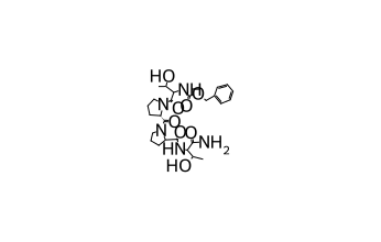 CC(O)C(NC(=O)C1CCCN1C(=O)[C@@H]1CCCN1C(=O)C(NC(=O)OCc1ccccc1)C(C)O)C(N)=O